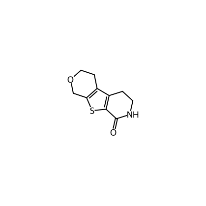 O=C1NCCc2c1sc1c2CCOC1